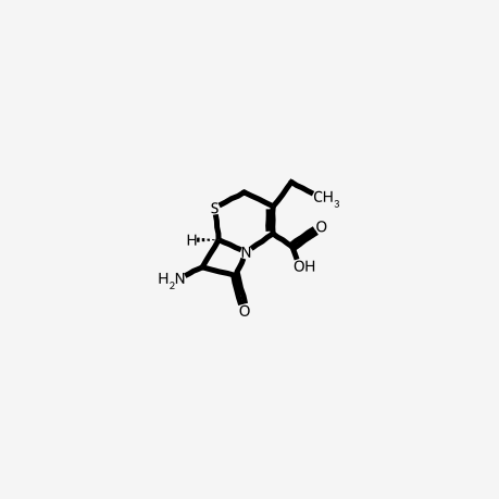 CCC1=C(C(=O)O)N2C(=O)C(N)[C@H]2SC1